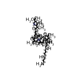 CC(C)C(C)/C=C\C(C)C(C)C(=O)OCC(COC(=O)C(C)C(C)/C=C\C(C)C(C)C)OP(=O)(O)OCCNC(=O)C(C)C(C)C(=O)NCCCNCCCCNCCCN